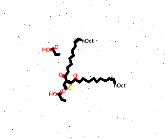 CCC(=O)O.CCC(=O)O.CCCCCCCC/C=C\CCCCCCCC(=O)c1ccsc1C(=O)CCCCCCC/C=C\CCCCCCCC